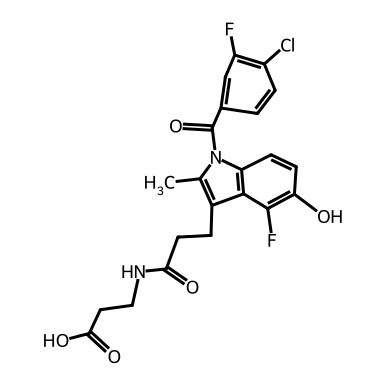 Cc1c(CCC(=O)NCCC(=O)O)c2c(F)c(O)ccc2n1C(=O)c1ccc(Cl)c(F)c1